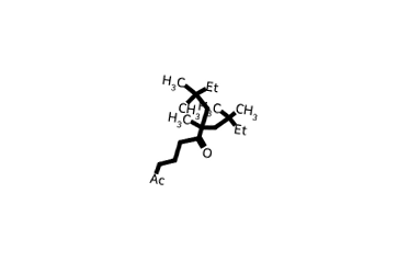 CCC(C)(C)CC(C)(CC(C)(C)CC)C(=O)CCCC(C)=O